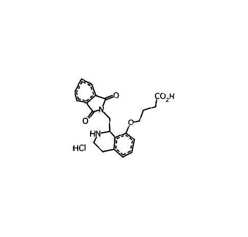 Cl.O=C(O)CCCOc1cccc2c1C(CN1C(=O)c3ccccc3C1=O)NCC2